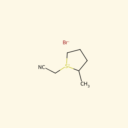 CC1CCC[S+]1CC#N.[Br-]